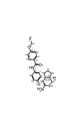 NC1=N[C@@]2(c3cc(NC(=O)c4cnc(OCF)cn4)ccc3F)CCC[C@H]2CS1